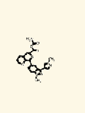 Cn1cc(-c2nn(C)c3ccc(-c4nc(C(=O)OC(N)=O)cc5cccnc45)cc23)cn1